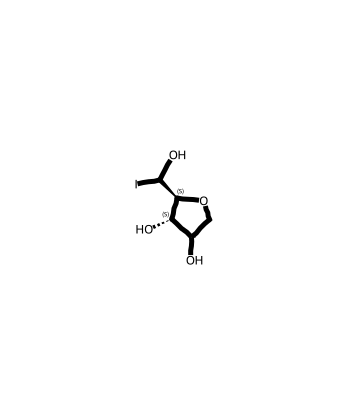 O[C]1CO[C@H](C(O)I)[C@H]1O